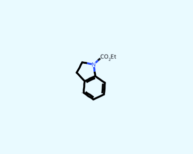 CCOC(=O)N1CCc2[c]cccc21